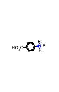 CC[N+](CC)(CC)c1ccc(C(=O)O)cc1